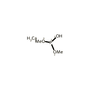 COP(O)OC.[CaH2]